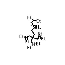 CCC(CC)O[SiH2]CCC(CN(CC)CC)(CN(CC)CC)CN(CC)CC